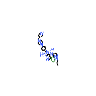 CCCN1CC[C@H](Nc2c(Cl)cnc3[nH]c(-c4ccc(N5CCN(Cc6ccncc6)CC5)cc4)nc23)C1